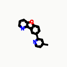 Cc1ccnc(-c2ccc3oc4cccnc4c3c2)c1